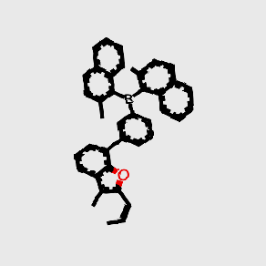 C/C=C\c1oc2c(-c3cccc(B(c4c(C)ccc5ccccc45)c4c(C)ccc5ccccc45)c3)cccc2c1C